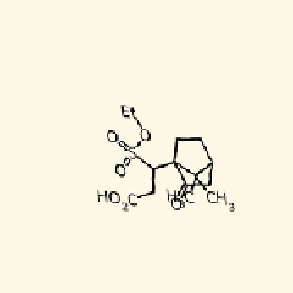 CCOS(=O)(=O)C(CC(=O)O)C12CCC(CC1=O)C2(C)C